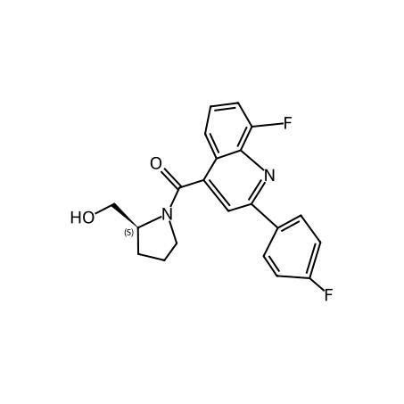 O=C(c1cc(-c2ccc(F)cc2)nc2c(F)cccc12)N1CCC[C@H]1CO